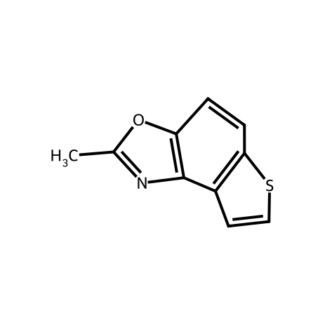 Cc1nc2c(ccc3sccc32)o1